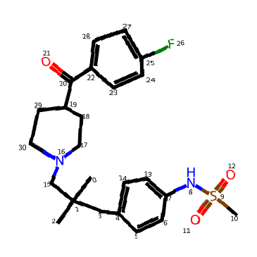 CC(C)(Cc1ccc(NS(C)(=O)=O)cc1)CN1CCC(C(=O)c2ccc(F)cc2)CC1